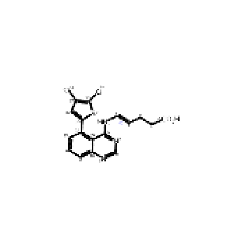 O=C(O)CC/C=C/Nc1ncnc2cccc(-c3cc(Cl)c(Cl)s3)c12